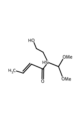 CC=CC(=O)[SiH](CCO)C(OC)OC